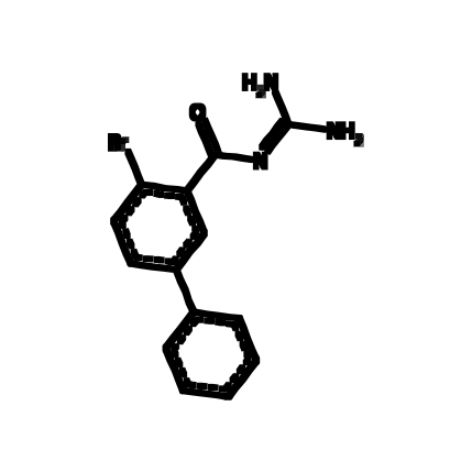 NC(N)=NC(=O)c1cc(-c2ccccc2)ccc1Br